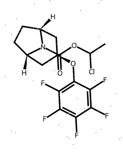 CC(Cl)OC(=O)N1[C@@H]2CC[C@H]1C[C@H](Oc1c(F)c(F)c(F)c(F)c1F)C2